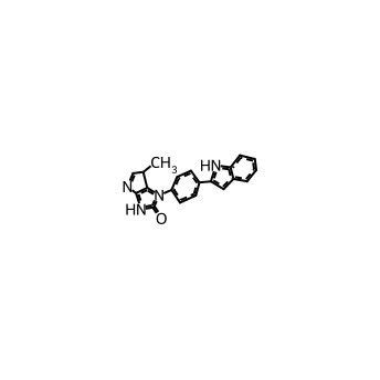 CC1C=Nc2[nH]c(=O)n(-c3ccc(-c4cc5ccccc5[nH]4)cc3)c21